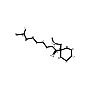 COCC1(C(=O)CCCCCCC(C)C)CCCCC1